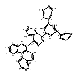 c1cncc(-c2nc(-c3cccnc3)nc(-c3ncc(-c4nc5ccccc5c5c4ccc4ccccc45)c4ccccc34)n2)c1